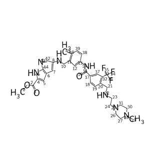 COC(=O)c1cc2cc(NCc3cc(NC(=O)c4ccc(CNCCN5CCN(C)CC5)c(C(F)(F)F)c4)ccc3C)cnc2[nH]1